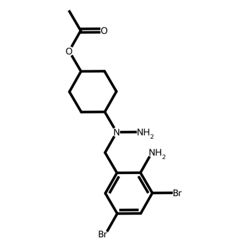 CC(=O)OC1CCC(N(N)Cc2cc(Br)cc(Br)c2N)CC1